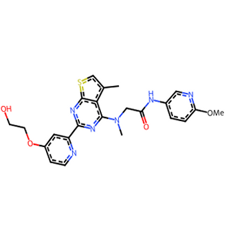 COc1ccc(NC(=O)CN(C)c2nc(-c3cc(OCCO)ccn3)nc3scc(C)c23)cn1